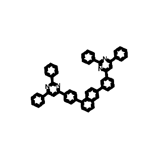 c1ccc(-c2cc(-c3ccc(-c4cccc5cc(-c6cccc(-c7cc(-c8ccccc8)nc(-c8ccccc8)n7)c6)ccc45)cc3)nc(-c3ccccc3)n2)cc1